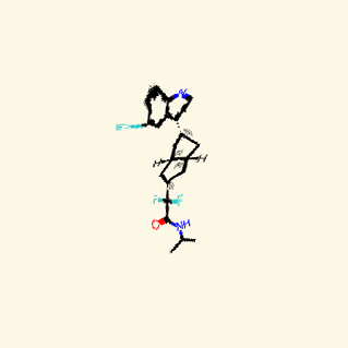 CC(C)NC(=O)C(F)(F)[C@@H]1C[C@H]2C[C@@H](c3ccnc4ccc(F)cc34)C[C@H]2C1